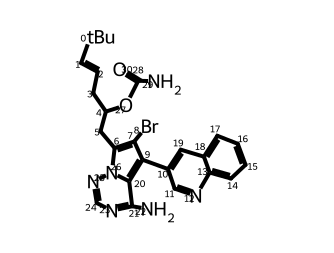 CC(C)(C)C=CCC(Cc1c(Br)c(-c2cnc3ccccc3c2)c2c(N)ncnn12)OC(N)=O